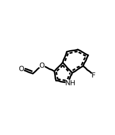 O=COc1c[nH]c2c(F)cccc12